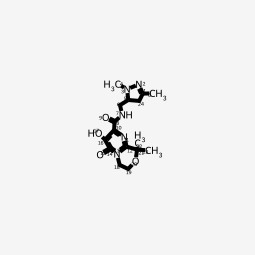 CC1=NN(C)C(CNC(=O)c2nc3n(c(=O)c2O)CCOC3(C)C)C1